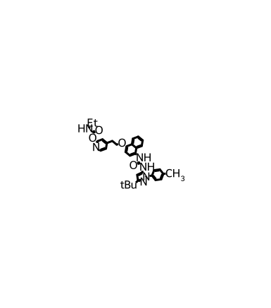 CCNC(=O)Oc1cc(CCOc2ccc(NC(=O)Nc3cc(C(C)(C)C)nn3-c3ccc(C)cc3)c3ccccc23)ccn1